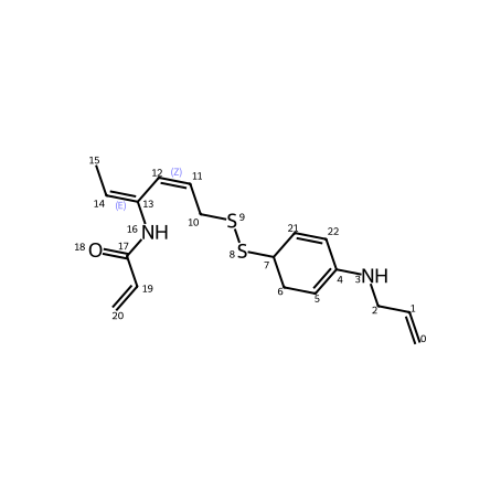 C=CCNC1=CCC(SSC/C=C\C(=C/C)NC(=O)C=C)C=C1